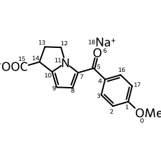 COc1ccc(C(=O)c2ccc3n2CCC3C(=O)[O-])cc1.[Na+]